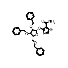 NC(=O)c1[nH]cnc1O[C@@H]1O[C@H](COCc2ccccc2)[C@@H](OCc2ccccc2)[C@@H]1OCc1ccccc1